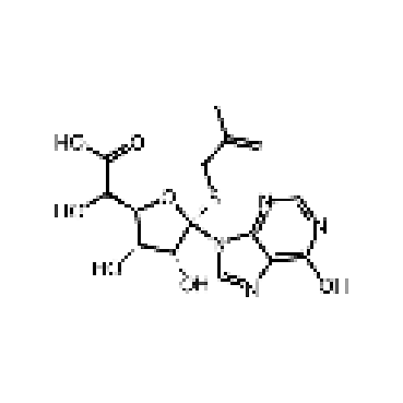 C=C(C)CS[C@@]1(n2cnc3c(O)ncnc32)O[C@H](C(O)C(=O)O)[C@@H](O)[C@H]1O